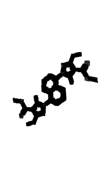 CCc1nn(-c2cccc3c(-n4nc(CC)c(C(=O)OC)c4C)cccc23)c(C)c1C(=O)OC